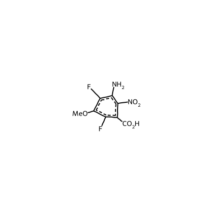 COc1c(F)c(N)c([N+](=O)[O-])c(C(=O)O)c1F